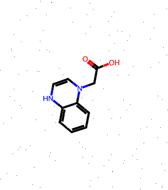 O=C(O)CN1C=CNc2ccccc21